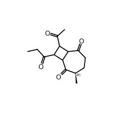 CCC(=O)C1C(C(C)=O)C2C(=O)CC[C@@H](C)C(=O)C12